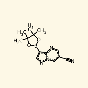 CC1(C)OB(c2cnn3cc(C#N)cnc23)OC1(C)C